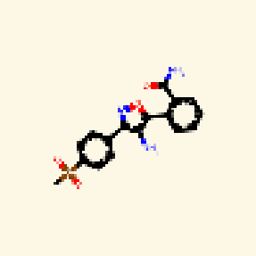 CS(=O)(=O)c1ccc(-c2noc(-c3ccccc3C(N)=O)c2N)cc1